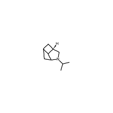 CC(C)N1C[C@H]2CC3CC1C32